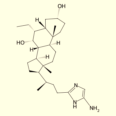 CC[C@H]1[C@@H](O)[C@@H]2[C@H](CC[C@]3(C)[C@@H]([C@H](C)CCc4ncc(N)[nH]4)CC[C@@H]23)[C@@]2(C)CC[C@@H](O)C[C@@H]12